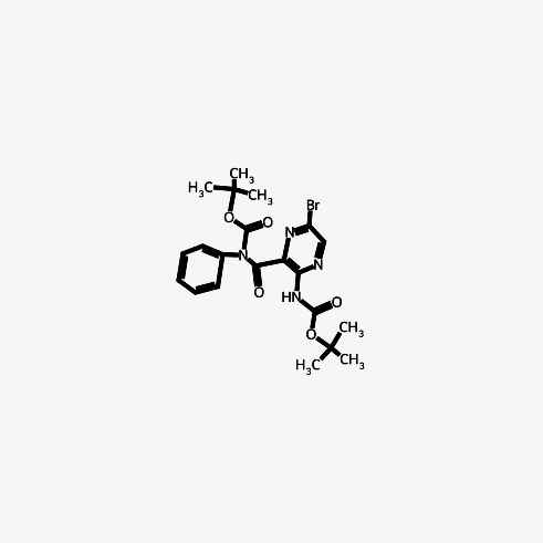 CC(C)(C)OC(=O)Nc1ncc(Br)nc1C(=O)N(C(=O)OC(C)(C)C)c1ccccc1